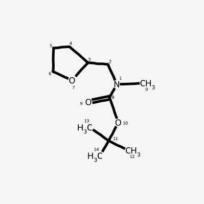 CN(CC1CCCO1)C(=O)OC(C)(C)C